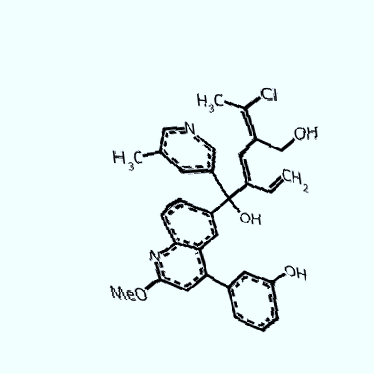 C=C/C(=C\C(CO)=C(/C)Cl)C(O)(c1cncc(C)c1)c1ccc2nc(OC)cc(-c3cccc(O)c3)c2c1